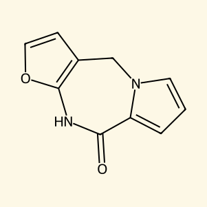 O=C1Nc2occc2Cn2cccc21